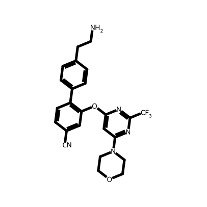 N#Cc1ccc(-c2ccc(CCN)cc2)c(Oc2cc(N3CCOCC3)nc(C(F)(F)F)n2)c1